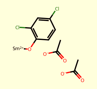 CC(=O)[O-].CC(=O)[O-].Clc1ccc([O][Sm+2])c(Cl)c1